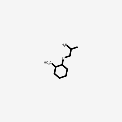 CC(N)COC1CCCCC1C(=O)O